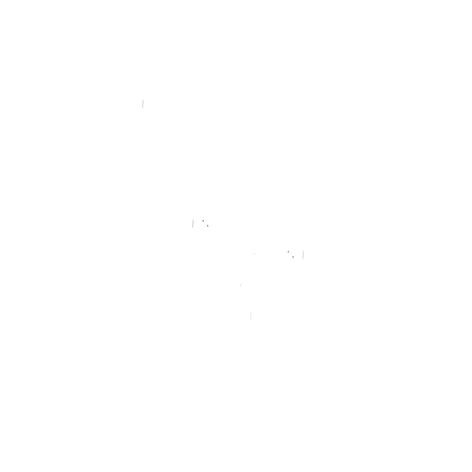 Cc1cc(F)ccc1NCC(=O)Nc1c(F)cccc1F